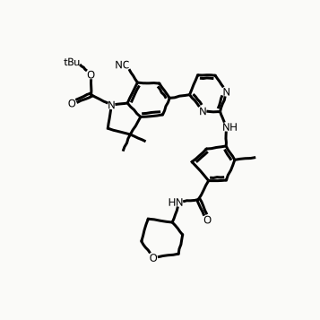 Cc1cc(C(=O)NC2CCOCC2)ccc1Nc1nccc(-c2cc(C#N)c3c(c2)C(C)(C)CN3C(=O)OC(C)(C)C)n1